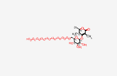 CC[C@H]1OC(=O)C(C)=C(O[C@@H]2O[C@H](COOOOOOOOOOOOOOOOOO)[C@@H](O)[C@H](O)[C@H]2O)[C@@H]1C